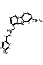 CC(=O)Nc1cccc2c3cccc(CNCCc4ccc(Br)cc4)c3nc-2c1